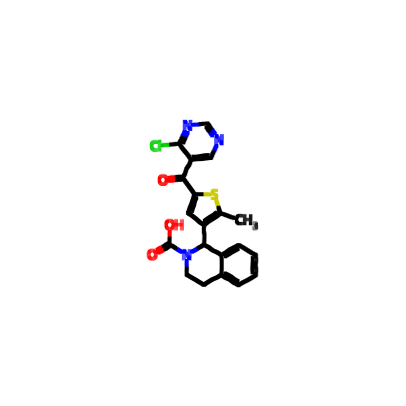 Cc1sc(C(=O)c2cncnc2Cl)cc1C1c2ccccc2CCN1C(=O)O